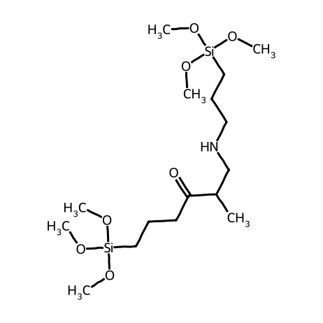 CO[Si](CCCNCC(C)C(=O)CCC[Si](OC)(OC)OC)(OC)OC